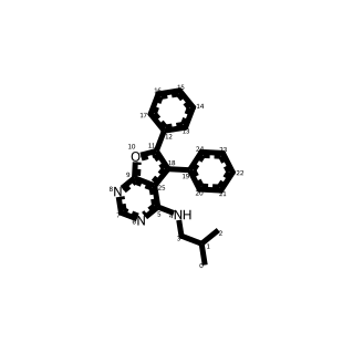 CC(C)CNc1ncnc2oc(-c3ccccc3)c(-c3ccccc3)c12